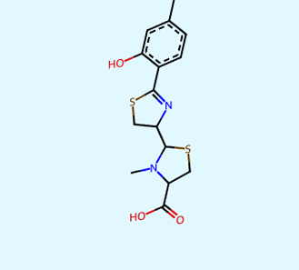 Cc1ccc(C2=NC(C3SCC(C(=O)O)N3C)CS2)c(O)c1